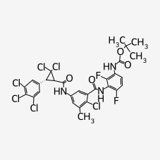 Cc1cc(NC(=O)C2[C@H](c3cc(Cl)c(Cl)c(Cl)c3)C2(Cl)Cl)cc(C(=O)Nc2c(F)ccc(NC(=O)OC(C)(C)C)c2F)c1Cl